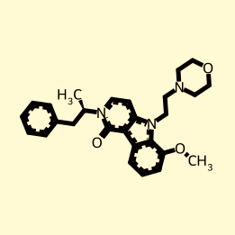 COc1cccc2c3c(=O)n([C@H](C)Cc4ccccc4)ccc3n(CCN3CCOCC3)c12